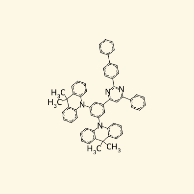 CC1(C)c2ccccc2N(c2cc(-c3cc(-c4ccccc4)nc(-c4ccc(-c5ccccc5)cc4)n3)cc(N3c4ccccc4C(C)(C)c4ccccc43)c2)c2ccccc21